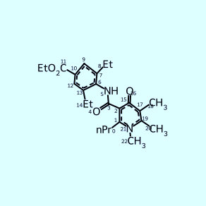 CCCc1c(C(=O)Nc2c(CC)cc(C(=O)OCC)cc2CC)c(=O)c(C)c(C)n1C